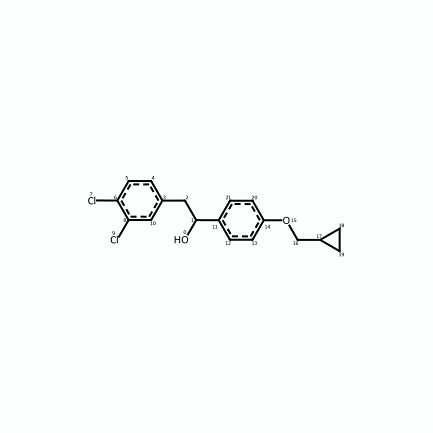 OC(Cc1ccc(Cl)c(Cl)c1)c1ccc(OCC2CC2)cc1